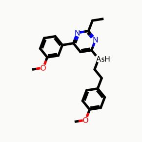 CCc1nc([AsH]CCc2ccc(OC)cc2)cc(-c2cccc(OC)c2)n1